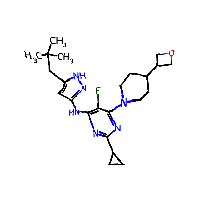 CC(C)(C)Cc1cc(Nc2nc(C3CC3)nc(N3CCC(C4COC4)CC3)c2F)n[nH]1